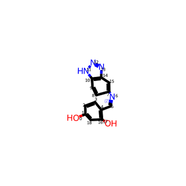 Oc1ccc(/C=N\c2ccc3[nH]nnc3c2)c(O)c1